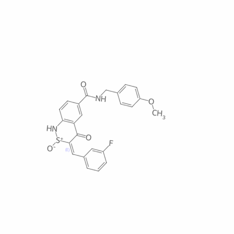 COc1ccc(CNC(=O)c2ccc3c(c2)C(=O)/C(=C\c2cccc(F)c2)[S+]([O-])N3)cc1